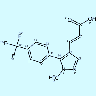 Cn1ncc(/C=C/C(=O)O)c1-c1ccc(C(F)(F)F)cc1